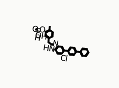 Cc1ccc(Cc2nc3cc(-c4ccc(-c5ccccc5)cc4)c(Cl)cc3[nH]2)cc1O[PH](=O)O